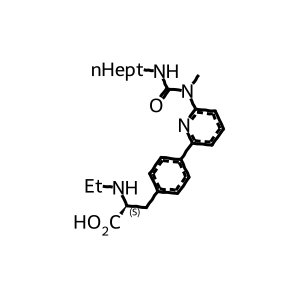 CCCCCCCNC(=O)N(C)c1cccc(-c2ccc(C[C@H](NCC)C(=O)O)cc2)n1